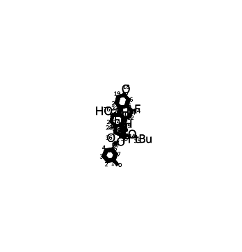 Cc1cccc([C@@H]2O[C@@H]3C[C@H]4[C@@H]5C[C@H](F)C6=CC(=O)C=C[C@]6(C)[C@@]5(F)[C@@H](O)C[C@]4(C)[C@]3(C(=O)COC(C)(C)C)O2)c1